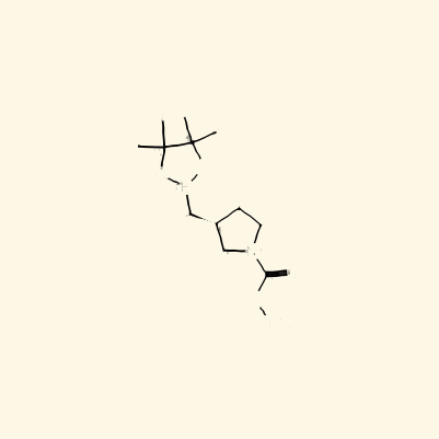 CC(C)(C)OC(=O)N1CC[C@H](CB2OC(C)(C)C(C)(C)O2)C1